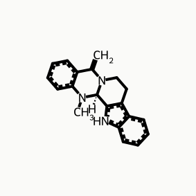 C=C1c2ccccc2N(C)[C@@H]2c3[nH]c4ccccc4c3CCN12